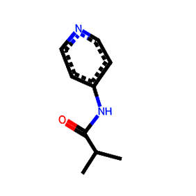 CC(C)C(=O)Nc1ccncc1